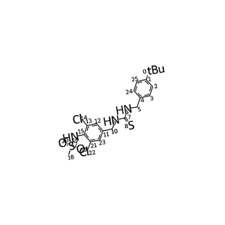 CC(C)(C)c1ccc(CNC(=S)NCc2cc(Cl)c(NS(C)(=O)=O)c(Cl)c2)cc1